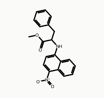 COC(=O)C(Cc1ccccc1)Nc1ccc([N+](=O)[O-])c2ccccc12